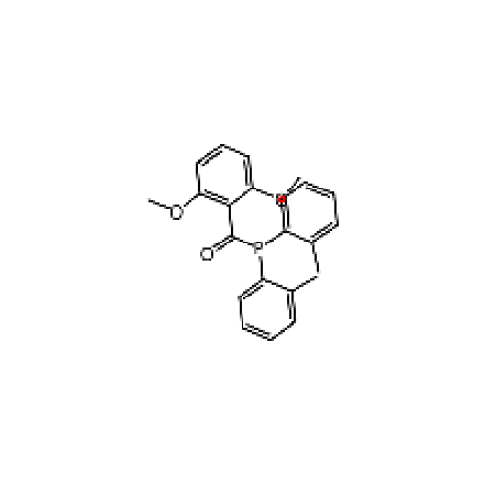 COc1cccc(OC)c1C(=O)P(c1ccccc1C)c1ccccc1C